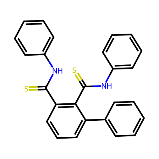 S=C(Nc1ccccc1)c1cccc(-c2ccccc2)c1C(=S)Nc1ccccc1